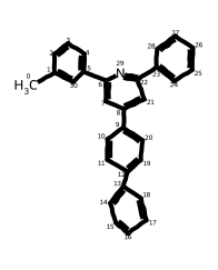 Cc1cccc(-c2cc(-c3ccc(-c4ccccc4)cc3)cc(-c3ccccc3)n2)c1